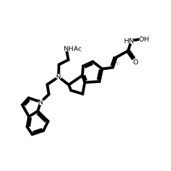 CC(=O)NCCN(CCn1ccc2ccccc21)C1CCc2cc(/C=C/C(=O)NO)ccc21